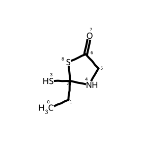 CCC1(S)NCC(=O)S1